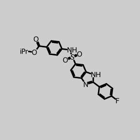 CC(C)OC(=O)c1ccc(NS(=O)(=O)c2ccc3nc(-c4ccc(F)cc4)[nH]c3c2)cc1